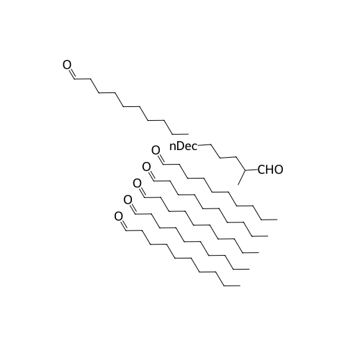 CCCCCCCCCC=O.CCCCCCCCCC=O.CCCCCCCCCC=O.CCCCCCCCCC=O.CCCCCCCCCC=O.CCCCCCCCCC=O.CCCCCCCCCCCCCC(C)C=O